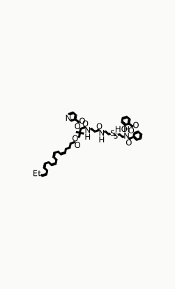 CC/C=C\C/C=C\C/C=C\C/C=C\C/C=C\CCCC(=O)OCC(C)(C)[C@@H](OC(=O)c1cccnc1)C(=O)NCCC(=O)NCCSSCCNC(=O)c1ccccc1OC(=O)c1ccccc1O